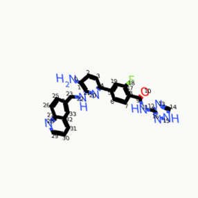 Nc1ccc(-c2ccc(C(=O)Nc3nc[nH]n3)c(F)c2)nc1NCc1ccc2ncccc2c1